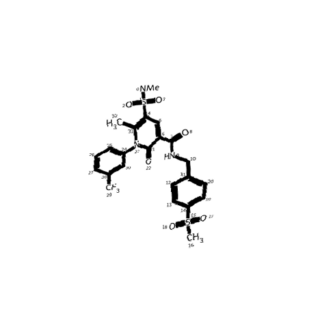 CNS(=O)(=O)c1cc(C(=O)NCc2ccc(S(C)(=O)=O)cc2)c(=O)n(-c2cccc(C(F)(F)F)c2)c1C